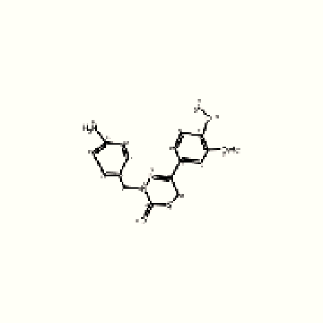 COc1cc(C2=NN(Cc3ccc(N)cc3)C(=O)SC2)ccc1OC(F)(F)F